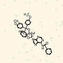 COc1ccc(C(O[C@H]2[C@@H](F)[C@H](n3cnc4c(NC(=O)c5ccccc5)ncnc43)O[C@@H]2CO)(c2ccccc2)c2ccc(OC)cc2)cc1